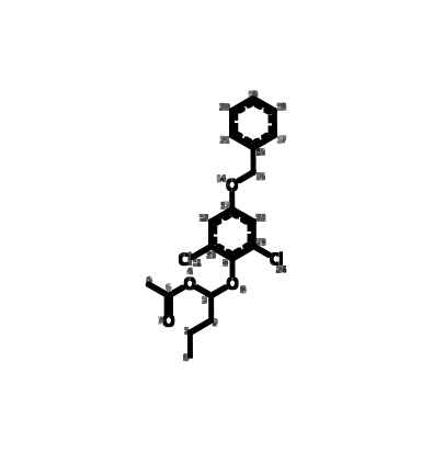 CCCC(OC(C)=O)Oc1c(Cl)cc(OCc2ccccc2)cc1Cl